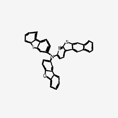 c1ccc2cc3c(cc2c1)sc1nc(N(c2ccc4c(c2)sc2ccccc24)c2ccc4oc5ccccc5c4c2)ccc13